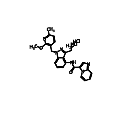 CCc1nn(Cc2ccc(C)nc2OC)c2cccc(NC(=O)c3cnc4ccccn34)c12.Cl.Cl